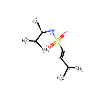 CC(C)/C=C/S(=O)(=O)N[C@H](C)C(C)C